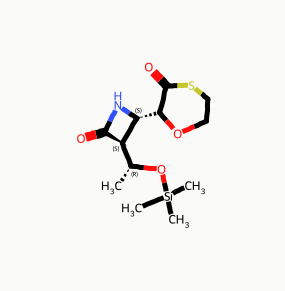 C[C@@H](O[Si](C)(C)C)[C@H]1C(=O)N[C@@H]1C1OCCSC1=O